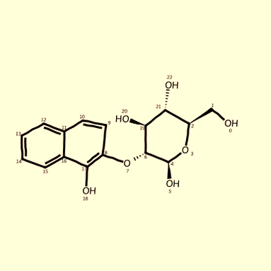 OC[C@H]1O[C@@H](O)[C@H](Oc2ccc3ccccc3c2O)[C@@H](O)[C@@H]1O